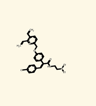 C=Cc1ccc(COc2ccc(/C(=C\c3ccc(Cl)cc3)C(=O)NCCN(CC)CC)cc2)nc1C=C